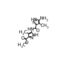 COC(=O)c1n[nH]c(NC(=O)c2n[nH]c(N)c2C)c1C